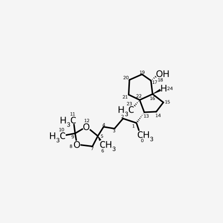 CC(CCC[C@]1(C)COC(C)(C)O1)[C@H]1CC[C@H]2[C@@H](O)CCC[C@]12C